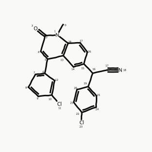 Cn1c(=O)cc(-c2cccc(Cl)c2)c2cc(C(C#N)c3ccc(Cl)cc3)ccc21